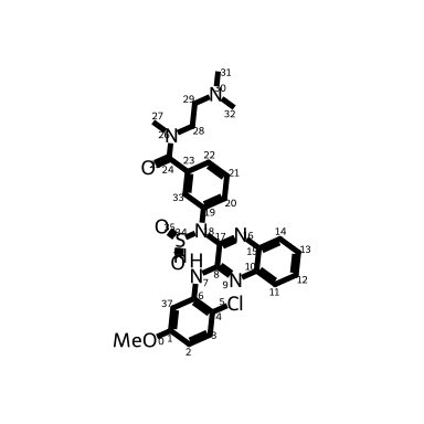 COc1ccc(Cl)c(Nc2nc3ccccc3nc2N(c2cccc(C(=O)N(C)CCN(C)C)c2)[SH](=O)=O)c1